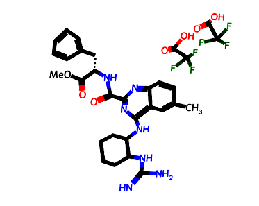 COC(=O)[C@H](Cc1ccccc1)NC(=O)c1nc(NC2CCCCC2NC(=N)N)c2cc(C)ccc2n1.O=C(O)C(F)(F)F.O=C(O)C(F)(F)F